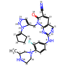 CC1CN(c2ccc(Nc3ncc4cc(C#N)c(=O)n(Cc5cnnn5C5=CCCC5)c4n3)cc2F)CCN1